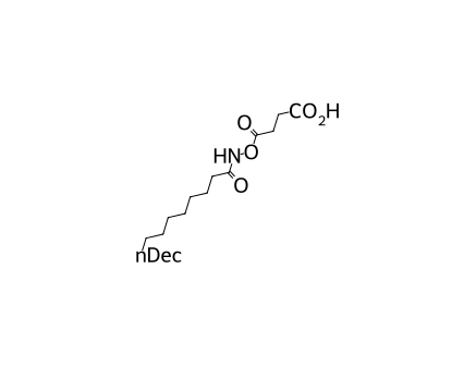 CCCCCCCCCCCCCCCCCC(=O)NOC(=O)CCC(=O)O